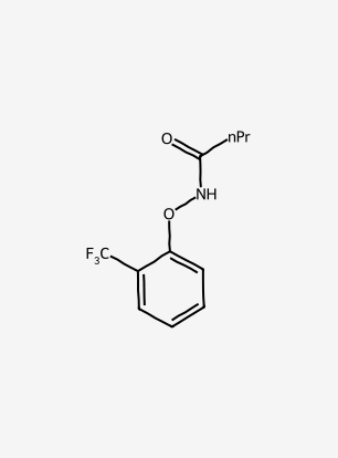 CCCC(=O)NOc1ccccc1C(F)(F)F